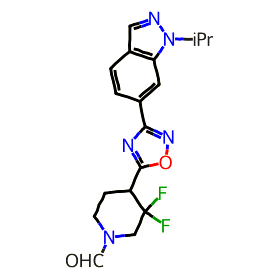 CC(C)n1ncc2ccc(-c3noc(C4CCN(C=O)CC4(F)F)n3)cc21